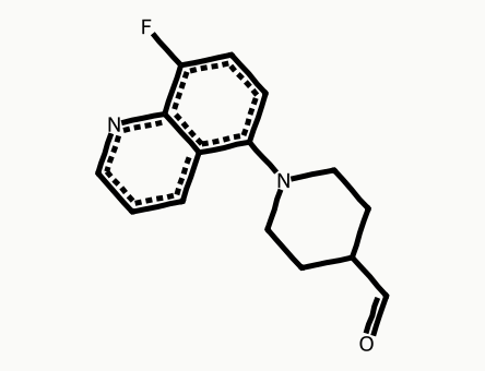 O=CC1CCN(c2ccc(F)c3ncccc23)CC1